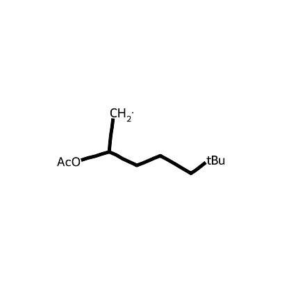 [CH2]C(CCCC(C)(C)C)OC(C)=O